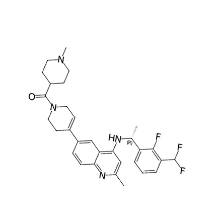 Cc1cc(N[C@H](C)c2cccc(C(F)F)c2F)c2cc(C3=CCN(C(=O)C4CCN(C)CC4)CC3)ccc2n1